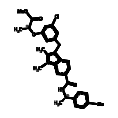 COC(=O)[C@H](C)Oc1cc(Cl)cc(Cc2c(C)n(C)c3cc(C(=O)N[C@@H](C)c4ccc(C(C)(C)C)cc4)ccc23)c1